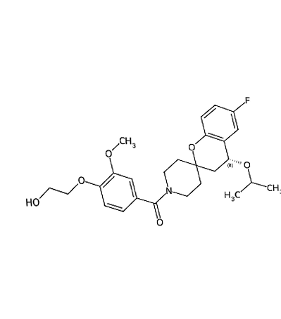 COc1cc(C(=O)N2CCC3(CC2)C[C@@H](OC(C)C)c2cc(F)ccc2O3)ccc1OCCO